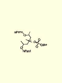 CCCCCOC(C)C[N+](C)(C)CC(C)OCCCCC.COS(=O)(=O)[O-]